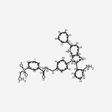 CCS(=O)(=O)c1cccc(C(=O)NCc2ccc(-n3c(-c4cccnc4N)nc4ccc(-c5ccccc5)nc43)cc2)c1